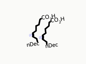 CCCCCCCCCCC/C=C\CCCCC(=O)O.CCCCCCCCCCC/C=C\CCCCC(=O)O